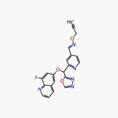 C#CCO/N=C/c1ccnc(C(Oc2cc(F)c3ncccc3c2)c2nnco2)c1